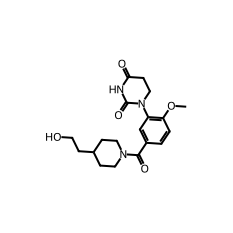 COc1ccc(C(=O)N2CCC(CCO)CC2)cc1N1CCC(=O)NC1=O